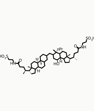 CCC[C@@]1(C)C(CC2CC[C@]3(C)C(CCC4[C@H]5CC[C@H]([C@@H](C)CCC(=O)NCCS(=O)(=O)O)[C@]5(C)CC[C@H]43)C2)C[C@H](O)[C@@H]2C1CC[C@@]1(C)C2CC[C@@H]1[C@@H](C)CCC(=O)NCCS(=O)(=O)O